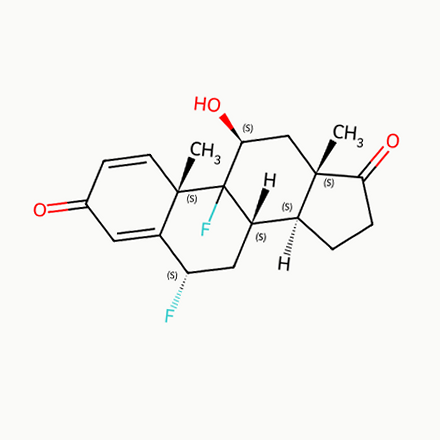 C[C@]12C=CC(=O)C=C1[C@@H](F)C[C@H]1[C@@H]3CCC(=O)[C@@]3(C)C[C@H](O)C12F